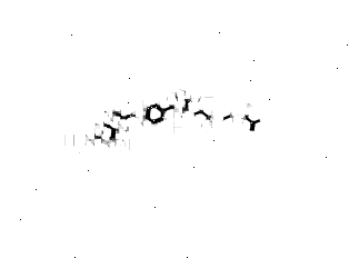 C=C(C)C(=O)OCCOC(=O)CC[C@H](NC(=O)c1ccc(NCc2cnc3nc(N)nc(O)c3n2)cc1)C(=O)O